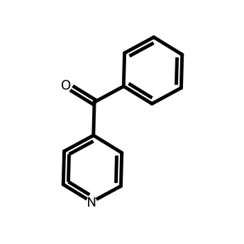 O=C(C1=C=C=NC=C1)c1ccccc1